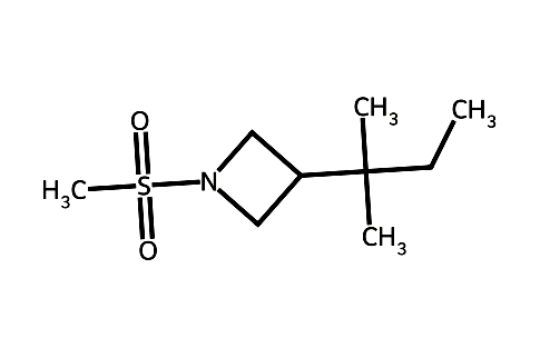 CCC(C)(C)C1CN(S(C)(=O)=O)C1